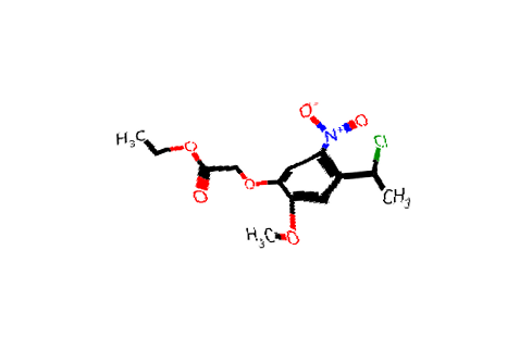 CCOC(=O)COc1cc([N+](=O)[O-])c(C(C)Cl)cc1OC